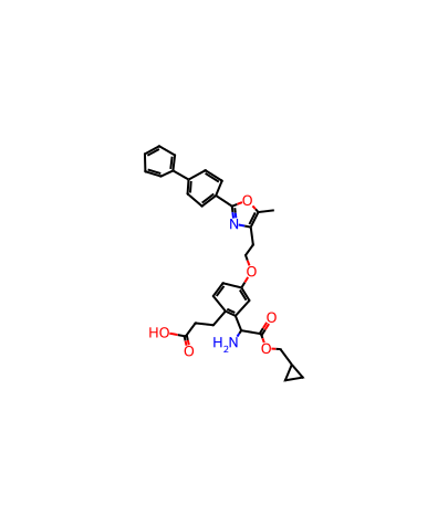 Cc1oc(-c2ccc(-c3ccccc3)cc2)nc1CCOc1ccc(CCC(=O)O)c(C(N)C(=O)OCC2CC2)c1